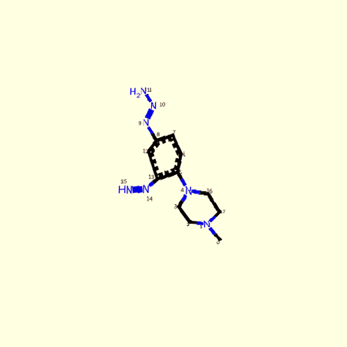 CN1CCN(c2ccc(N=NN)cc2N=N)CC1